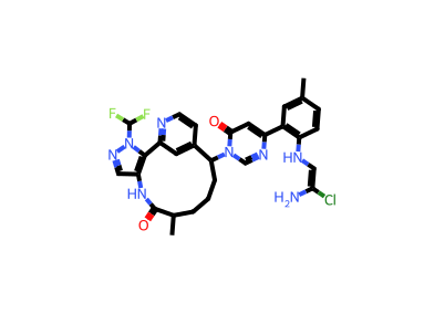 Cc1ccc(N/C=C(\N)Cl)c(-c2cc(=O)n(C3CCCC(C)C(=O)Nc4cnn(C(F)F)c4-c4cc3ccn4)cn2)c1